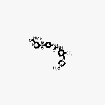 CNC(=O)c1cc(S(=O)(=O)c2ccc(NC(=O)Nc3ccc(CN4CCN(C)CC4)c(C(F)(F)F)c3)cc2)ccn1